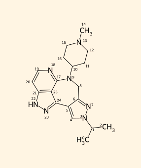 CC(C)n1cc2c(n1)CN(C1CCN(C)CC1)c1nccc3[nH]nc-2c13